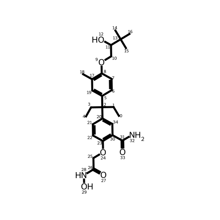 CCC(CC)(c1ccc(OCC(O)C(C)(C)C)c(C)c1)c1ccc(OCC(=O)NO)c(C(N)=O)c1